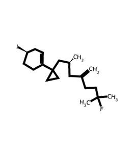 C=C(CCC(C)(C)F)C[C@@H](C)CC1(C2=CC[C@H](I)CC2)CC1